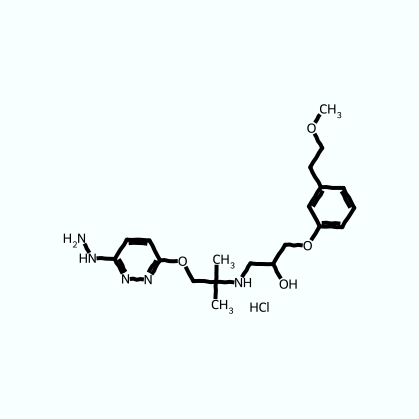 COCCc1cccc(OCC(O)CNC(C)(C)COc2ccc(NN)nn2)c1.Cl